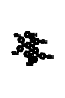 CC(C)(C)c1ccc(N(c2ccc(C(C)(C)C)cc2)c2ccc3c(c2)N(c2cccc4c2OC2=CC=CCC24)c2cc(N(c4ccc(C(C)(C)C)cc4)c4ccc(C(C)(C)C)cc4)cc4c2B3c2cc(C(C)(C)C)cc3c5[nH]c6ccccc6c5n-4c23)cc1